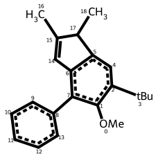 COc1c(C(C)(C)C)cc2c(c1-c1ccccc1)C=C(C)C2C